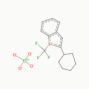 FC(F)(F)[s+]1c(C2CCCCC2)cc2ccccc21.[O-][Cl+3]([O-])([O-])[O-]